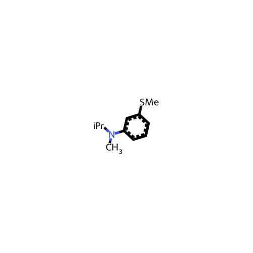 CSc1cccc(N(C)C(C)C)c1